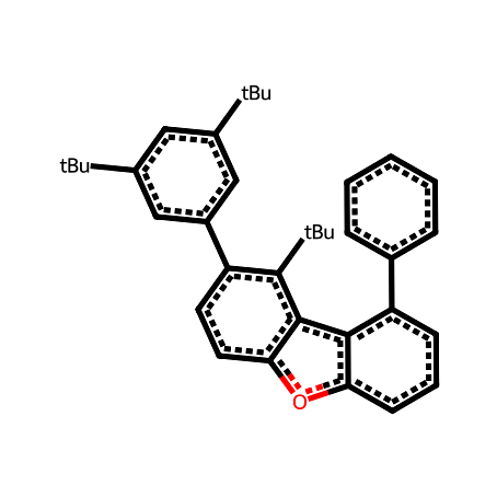 CC(C)(C)c1cc(-c2ccc3oc4cccc(-c5ccccc5)c4c3c2C(C)(C)C)cc(C(C)(C)C)c1